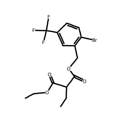 CCOC(=O)C(CC)C(=O)OCc1cc(C(F)(F)F)ccc1Br